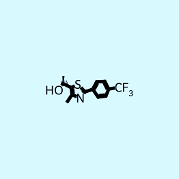 Cc1nc(-c2ccc(C(F)(F)F)cc2)sc1[C@H](C)O